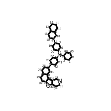 c1ccc(N(c2ccc(-c3ccc4ccccc4c3)cc2)c2ccc(-c3ccc4ccc5oc6ccncc6c5c4c3)cc2)cc1